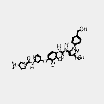 CCCCc1cc(NC(=O)Nc2ccc(Oc3ccnc(NC(=O)N4CC[C@H](N(C)C)C4)c3)c(Cl)c2Cl)n(-c2ccc(CO)cc2)n1